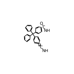 N=C=O.N=C=O.c1ccc(C(c2ccccc2)(c2ccccc2)c2ccccc2)cc1